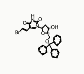 O=c1[nH]c(=O)n([C@H]2C[C@H](O)[C@@H](COC(c3ccccc3)(c3ccccc3)c3ccccc3)O2)cc1C=CBr